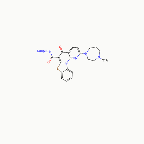 CN1CCCN(c2ccc3c(=O)c(C(=O)N=[N+]=[N-])c4sc5ccccc5n4c3n2)CC1